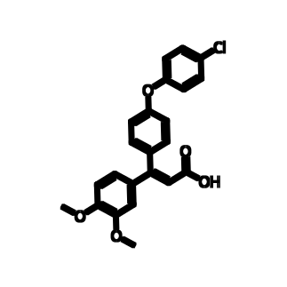 COc1ccc(C(=CC(=O)O)c2ccc(Oc3ccc(Cl)cc3)cc2)cc1OC